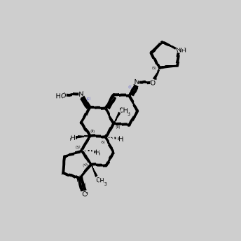 C[C@]12CC/C(=N\O[C@H]3CCNC3)C=C1/C(=N/O)C[C@@H]1[C@@H]2CC[C@]2(C)C(=O)CC[C@@H]12